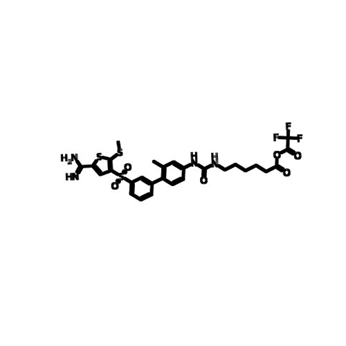 CSc1sc(C(=N)N)cc1S(=O)(=O)c1cccc(-c2ccc(NC(=O)NCCCCCC(=O)OC(=O)C(F)(F)F)cc2C)c1